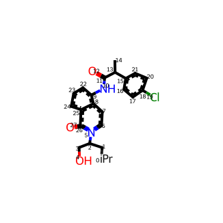 CC(C)CC(CO)n1ccc2c(NC(=O)C(C)c3ccc(Cl)cc3)cccc2c1=O